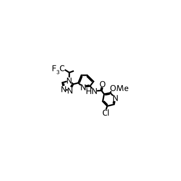 COc1ncc(Cl)cc1C(=O)Nc1cccc(-c2nncn2C(C)C(F)(F)F)n1